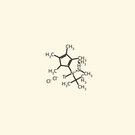 CC1=C(C)C(C)C([N+]([Ti])([SiH](C)C)C(C)(C)C)=C1C.[Cl-].[Cl-]